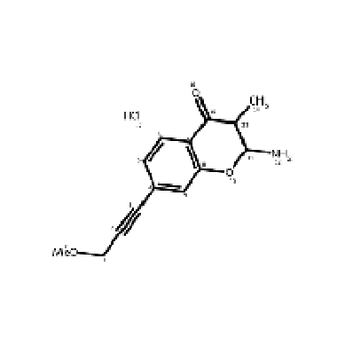 COCC#Cc1ccc2c(c1)OC(N)C(C)C2=O.Cl